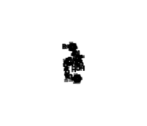 Cc1c([C@H](O)C(=O)O)c(N2CCC(C)(OCCOC[C@@H](C)OCc3ccccc3)CC2)n2cc(-c3cccc(Br)c3)nc2c1C